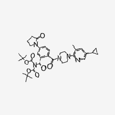 Cc1cc(C2CC2)cnc1N1CCN(C(=O)c2ccc(N3CCCC3=O)cc2C(=O)N(C(=O)OC(C)(C)C)C(=O)OC(C)(C)C)CC1